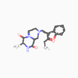 CCc1oc2ccccc2c1CN1CCN2C(=O)C(C)NC(=O)C2C1